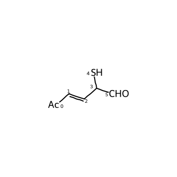 CC(=O)C=CC(S)C=O